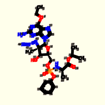 CCOc1nc(N)nc2c1ncn2[C@@H]1O[C@H](CO[P@@](=O)(N[C@H](C)C(=O)OC(C)C)Oc2ccccc2)[C@@H](O)[C@@]1(C)N=[N+]=[N-]